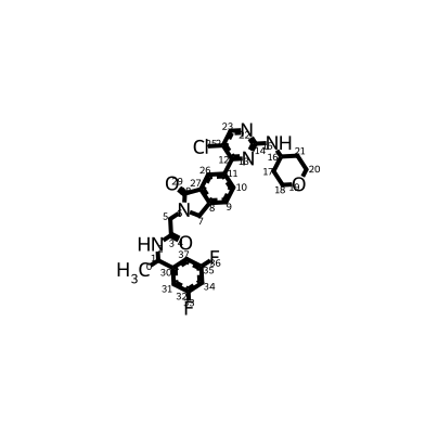 CC(NC(=O)CN1Cc2ccc(-c3nc(NC4CCOCC4)ncc3Cl)cc2C1=O)c1cc(F)cc(F)c1